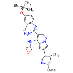 CCc1cc(O[Si](C)(C)C(C)(C)C)ccc1/N=C(\N)c1cnn2cc(-c3cnc(OC)cc3C)cc2c1NC1COC1